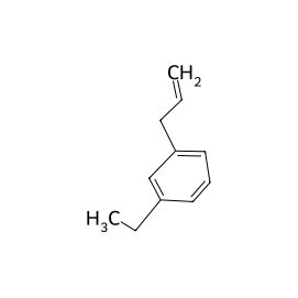 C=CCc1cccc(CC)c1